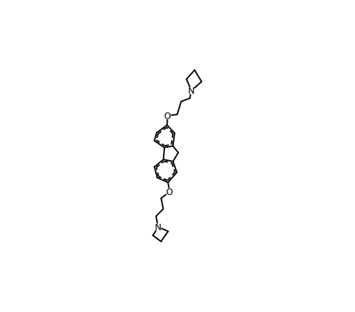 c1cc2c(cc1OCCCN1CCC1)Cc1cc(OCCCN3CCC3)ccc1-2